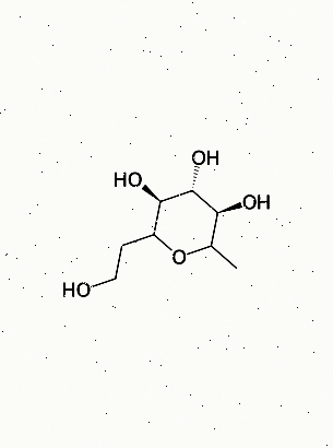 CC1OC(CCO)[C@@H](O)[C@H](O)[C@H]1O